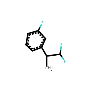 [CH2]C(c1cccc(F)c1)C(F)F